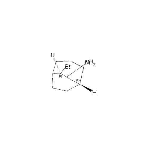 CC[C@@H]1C2CCC[C@H](CC2)C1N